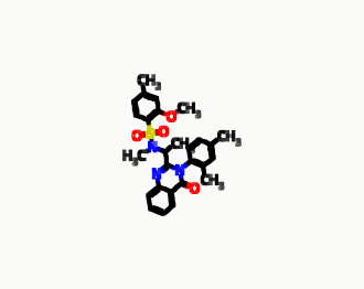 COc1cc(C)ccc1S(=O)(=O)N(C)C(C)c1nc2ccccc2c(=O)n1-c1ccc(C)cc1C